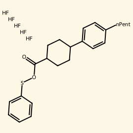 CCCCCc1ccc(C2CCC(C(=O)OSc3ccccc3)CC2)cc1.F.F.F.F.F